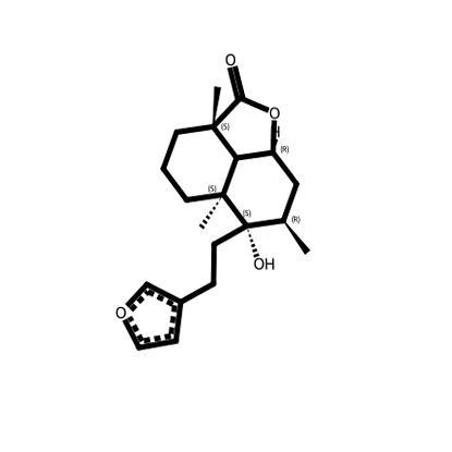 C[C@@H]1C[C@H]2OC(=O)[C@@]3(C)CCC[C@@](C)(C23)[C@]1(O)CCc1ccoc1